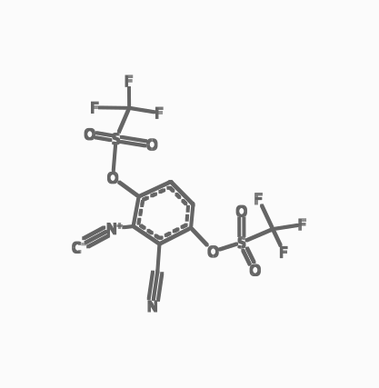 [C-]#[N+]c1c(OS(=O)(=O)C(F)(F)F)ccc(OS(=O)(=O)C(F)(F)F)c1C#N